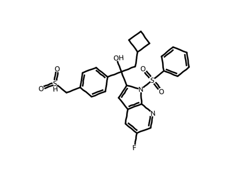 O=[SH](=O)Cc1ccc(C(O)(CC2CCC2)c2cc3cc(F)cnc3n2S(=O)(=O)c2ccccc2)cc1